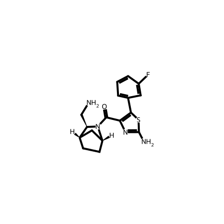 NC[C@@H]1[C@H]2CC[C@H](C2)N1C(=O)c1nc(N)sc1-c1cccc(F)c1